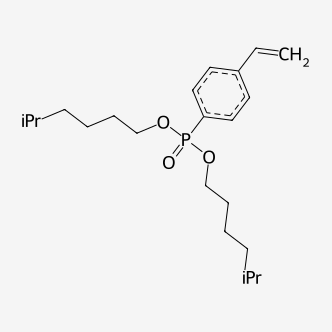 C=Cc1ccc(P(=O)(OCCCCC(C)C)OCCCCC(C)C)cc1